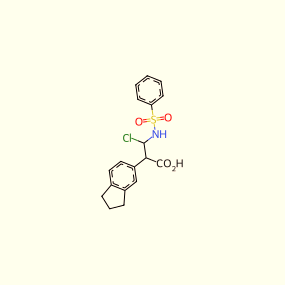 O=C(O)C(c1ccc2c(c1)CCC2)C(Cl)NS(=O)(=O)c1ccccc1